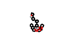 c1ccc(-c2nccn2-c2c(-c3c4c(cc5c3CCCC5)CCCC4)cc(-c3cccc(-c4ccc5oc6ccccc6c5c4)c3)cc2-c2c3c(cc4c2CCCC4)CCCC3)cc1